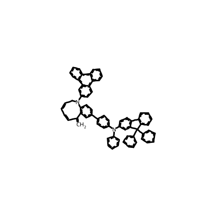 C=C1/C=C\C=C/CN(c2ccc3c4ccccc4c4ccccc4c3c2)c2ccc(-c3ccc(N(c4ccccc4)c4ccc5c(c4)C(c4ccccc4)(c4ccccc4)c4ccccc4-5)cc3)cc21